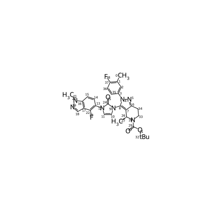 Cc1cc(-n2nc3c(c2-n2ccn(-c4ccc5c(cnn5C)c4F)c2=O)[C@H](C)N(C(=O)OC(C)(C)C)CC3)ccc1F